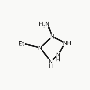 CCn1[nH][nH][nH]n1N